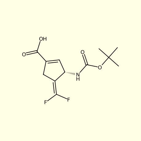 CC(C)(C)OC(=O)N[C@H]1C=C(C(=O)O)CC1=C(F)F